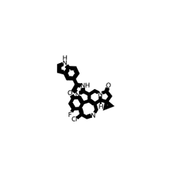 O=C1C=C(F)C2=C(Cl)C=NCC3=C(C2=C1)C(c1ncc(-c2ccc4[nH]ccc4c2)[nH]1)CN1C(=O)CC2(CC2)[C@H]31